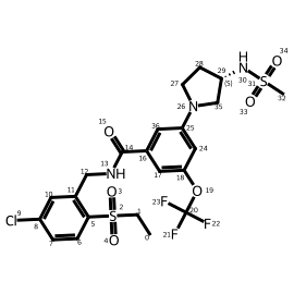 CCS(=O)(=O)c1ccc(Cl)cc1CNC(=O)c1cc(OC(F)(F)F)cc(N2CC[C@H](NS(C)(=O)=O)C2)c1